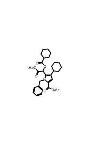 COC(=O)c1cc(C2CCCCC2)c(C(OC(=O)C2CCCCC2)C(=O)OC)n1Cc1ccccc1